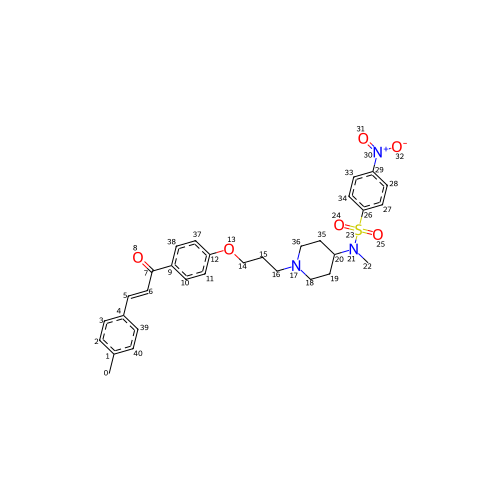 Cc1ccc(/C=C/C(=O)c2ccc(OCCCN3CCC(N(C)S(=O)(=O)c4ccc([N+](=O)[O-])cc4)CC3)cc2)cc1